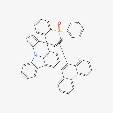 O=P1(c2ccccc2)c2ccccc2C2(c3ccccc3-n3c4ccccc4c4cccc2c43)c2cc(-c3cc4ccccc4c4ccccc34)ccc21